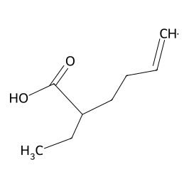 [CH]=CCCC(CC)C(=O)O